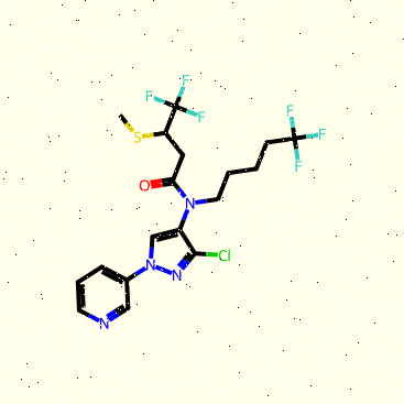 CSC(CC(=O)N(CCCCC(F)(F)F)c1cn(-c2cccnc2)nc1Cl)C(F)(F)F